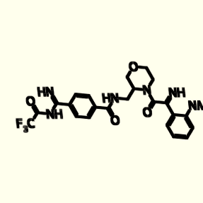 CNc1ccccc1C(=N)C(=O)N1CCOCC1CNC(=O)c1ccc(C(=N)NC(=O)C(F)(F)F)cc1